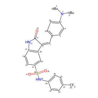 CCCCN(CCCC)c1ccc(C=C2C(=O)Nc3ccc(S(=O)(=O)Nc4ccc(C(F)(F)F)cc4)cc32)cc1